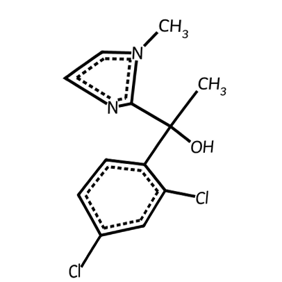 Cn1ccnc1C(C)(O)c1ccc(Cl)cc1Cl